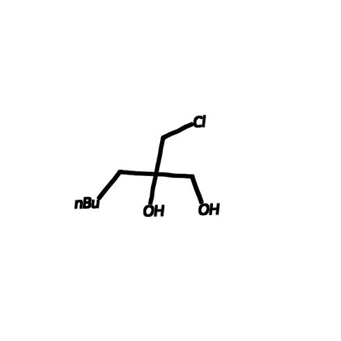 CCCCCC(O)(CO)CCl